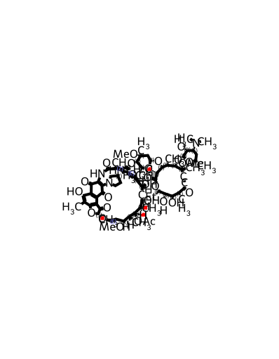 CC[C@H]1OC(=O)[C@H](C)[C@@H](O[C@H]2C[C@@](C)(OC)[C@@H](OC(=O)N[C@@H]3CCN(C4=C5NC(=O)/C(C)=C\C=C\[C@H](C)[C@H](O)C[C@@H](O)[C@@H](C)[C@H](OC(C)=O)[C@H](C)[C@@H](OC)/C=C/O[C@@]6(C)Oc7c(C)c(O)c(c(c7C6=O)C4=O)C5=O)C3)[C@H](C)O2)[C@H](C)[C@@H](O[C@@H]2O[C@H](C)C[C@H](N(C)C)[C@H]2O)[C@](C)(OC)CCC(=O)[C@H](C)[C@@H](O)[C@@H]1O